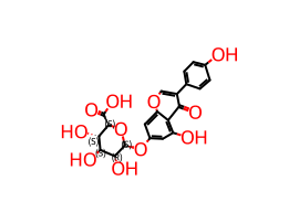 O=C(O)[C@H]1O[C@@H](Oc2cc(O)c3c(=O)c(-c4ccc(O)cc4)coc3c2)[C@H](O)[C@@H](O)[C@@H]1O